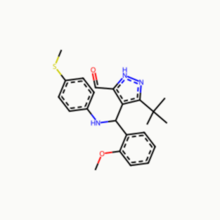 COc1ccccc1C(Nc1ccc(SC)cc1)c1c(C(C)(C)C)n[nH]c1C=O